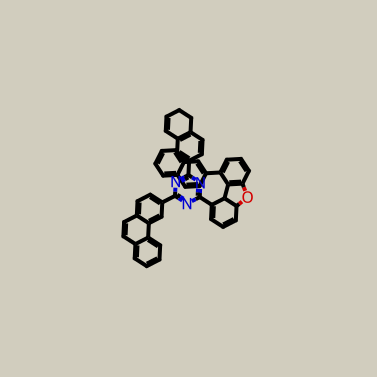 C1=CC2Oc3cccc(-c4ccc5ccccc5c4)c3C2C(c2nc(-c3ccc4c(c3)C=CCC4)nc(-c3ccc4ccc5ccccc5c4c3)n2)=C1